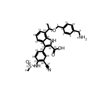 CC(OCc1ccc(CN)cc1)c1cccc2c(-c3ccc(N[S+](C)[O-])c(C#N)c3)c(C(=O)O)[nH]c12